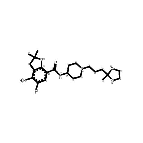 CC1(C)Cc2c(N)c(Cl)cc(C(=O)NC3CCN(CCCC4(C)OCCO4)CC3)c2O1